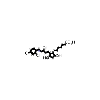 O=C(O)CCCCCC[C@@H]1C(CCC(O)/C=C/c2ccc(Cl)cc2Cl)[C@H](O)C[C@@H]1O